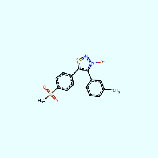 Cc1cccc(-c2c(-c3ccc(S(C)(=O)=O)cc3)sn[n+]2[O-])c1